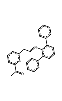 CC(=O)c1cccc(CC=Nc2c(-c3ccccc3)cccc2-c2ccccc2)n1